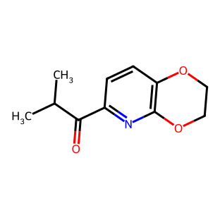 CC(C)C(=O)c1ccc2c(n1)OCCO2